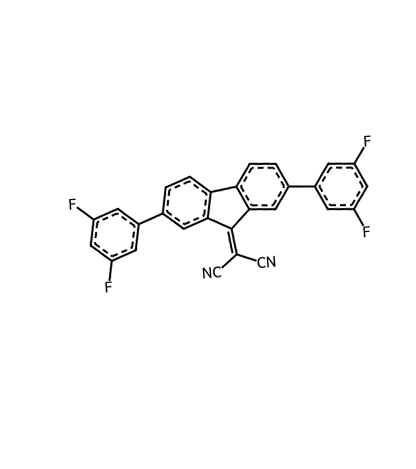 N#CC(C#N)=C1c2cc(-c3cc(F)cc(F)c3)ccc2-c2ccc(-c3cc(F)cc(F)c3)cc21